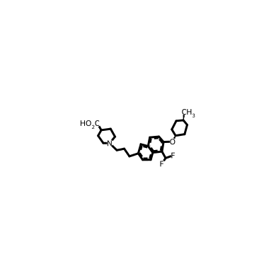 C[C@H]1CC[C@@H](Oc2ccc3cc(CCCN4CCC(C(=O)O)CC4)ccc3c2C(F)F)CC1